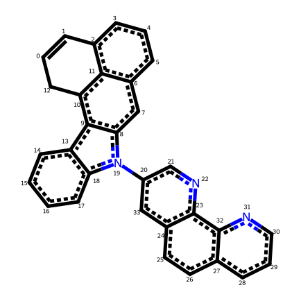 C1=Cc2cccc3cc4c(c(c23)C1)c1ccccc1n4-c1cnc2c(ccc3cccnc32)c1